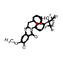 COc1cc2nc(Cc3ccccc3)n(-c3ccc(C(O)(C(F)(F)F)C(F)(F)F)cc3)c(=O)c2cc1Cl